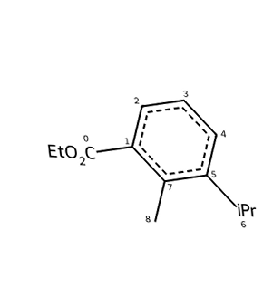 CCOC(=O)c1cccc(C(C)C)c1C